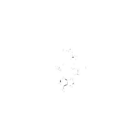 CC(=O)ON.Nc1ncnc2c1ncn2[C@@H]1O[C@H](COP(=O)(O)OP(=O)(O)O)[C@@H](O)[C@H]1O.[Mn]